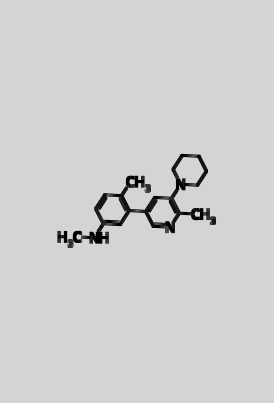 CNc1ccc(C)c(-c2cnc(C)c(N3CCCCC3)c2)c1